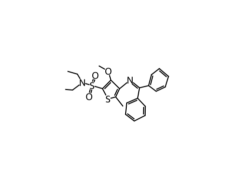 CCN(CC)S(=O)(=O)c1sc(C)c(N=C(c2ccccc2)c2ccccc2)c1OC